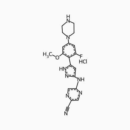 COc1cc(N2CCNCC2)cc(F)c1-c1cc(Nc2cnc(C#N)cn2)n[nH]1.Cl